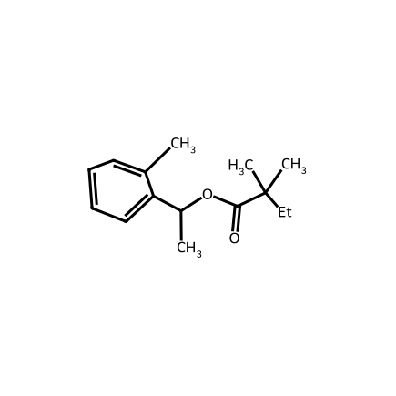 CCC(C)(C)C(=O)OC(C)c1ccccc1C